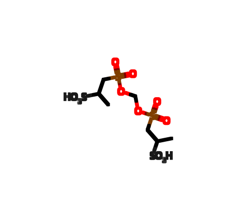 CC(CS(=O)(=O)OCOS(=O)(=O)CC(C)S(=O)(=O)O)S(=O)(=O)O